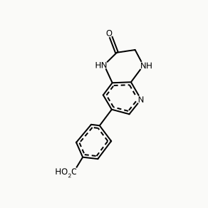 O=C1CNc2ncc(-c3ccc(C(=O)O)cc3)cc2N1